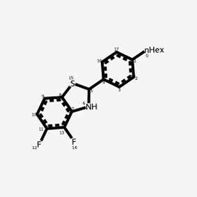 CCCCCCc1ccc(C2Nc3c(ccc(F)c3F)S2)cc1